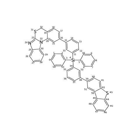 c1ccc([Si](c2ccccc2)(c2cccc(-c3ccc4c(c3)-n3c(nc5ccccc53)SC4)c2)c2cccc(-c3ccc4sc5ccccc5c4c3)c2)cc1